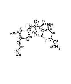 COC1CCc2c(S(=O)(=O)Nc3cc(F)c(OCCF)cc3F)c[nH]c2C1